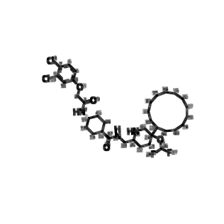 O=C(COc1ccc(Cl)c(Cl)c1)N[C@H]1CC[C@H](C(=O)NCC2CCC(OC(F)F)(C3CCCCCCCCCCCC3)CN2)CC1